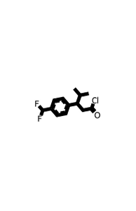 CC(C)C(CC(=O)Cl)c1ccc(C(F)F)cc1